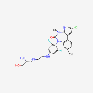 CCN1C(=O)N(c2c(F)cc(NCCNCC(N)CO)cc2F)c2cc(C#N)ccc2-c2cc(Cl)cnc21